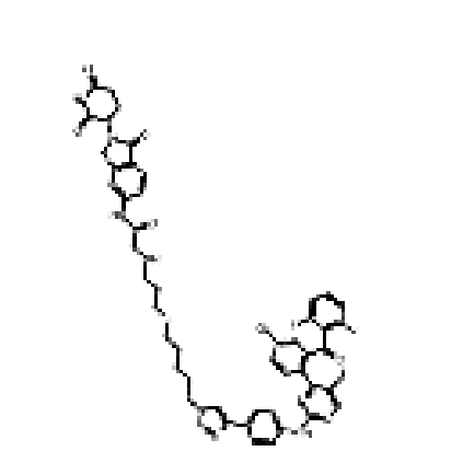 O=C1CCC(N2Cc3cc(NC(=O)CNCCCOCCCCCn4cc(-c5ccc(Nc6ncc7c(n6)-c6ccc(Cl)cc6C(c6c(F)cccc6F)=NC7)cc5)nn4)ccc3C2=O)C(=O)N1